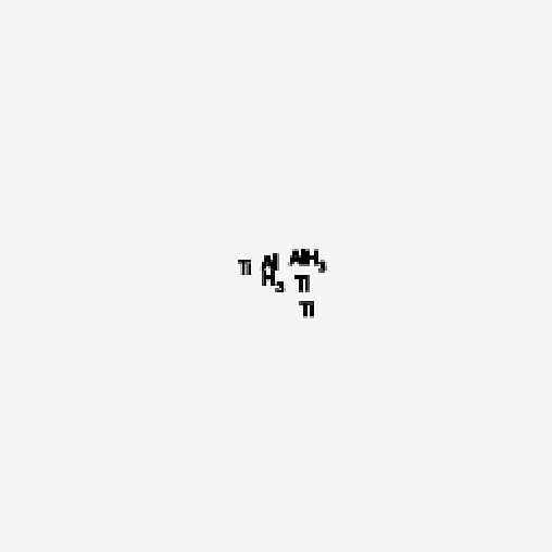 [AlH3].[AlH3].[Ti].[Ti].[Ti]